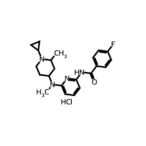 CC1CC(N(C)c2cccc(NC(=O)c3ccc(F)cc3)n2)CCN1C1CC1.Cl